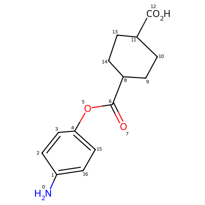 Nc1ccc(OC(=O)C2CCC(C(=O)O)CC2)cc1